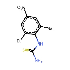 CCc1cc([N+](=O)[O-])cc(CC)c1NC(N)=S